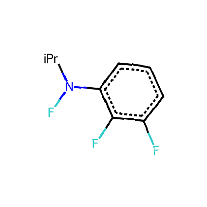 CC(C)N(F)c1cccc(F)c1F